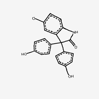 O=C1Nc2ccc(Cl)cc2C1(c1ccc(O)cc1)c1ccc(O)cc1